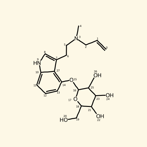 C=CCN(C)CCc1c[nH]c2cccc(OC3OC(CO)C(O)C(O)C3O)c12